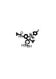 O=C(Nc1ccc2c(c1)C1(CCS(O)(O)CC1)C(C1CC1)N2S(=O)(=O)c1ccc(F)cc1)C1CC1